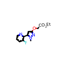 CCOC(=O)COc1cc(-c2ncccc2F)n(C)n1